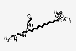 [CH2]CNCNCCN(CCCCCCCCCCC[Si](OC)(OC)OC)CNC[C]=O